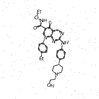 CCONC(=O)c1cn(-c2ccc(CC)cc2)c2nc(Nc3ccc(C4CCN(CCO)CC4)cc3)ncc2c1=O